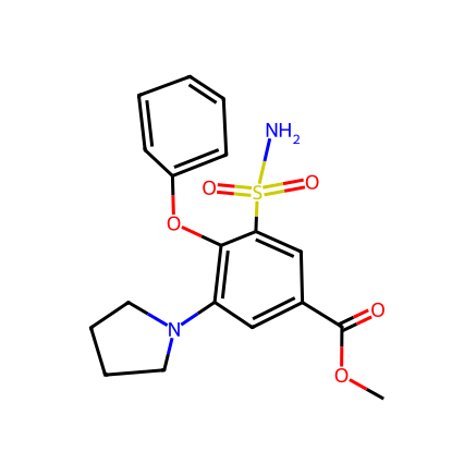 COC(=O)c1cc(N2CCCC2)c(Oc2ccccc2)c(S(N)(=O)=O)c1